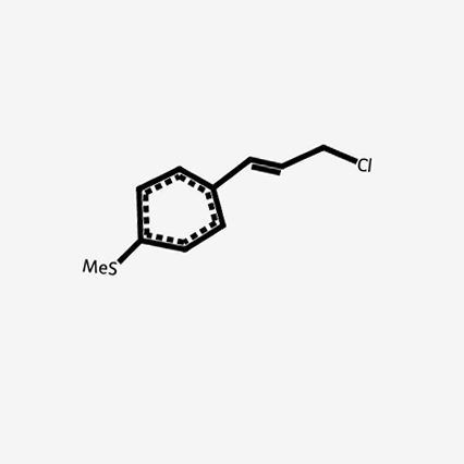 CSc1ccc(C=CCCl)cc1